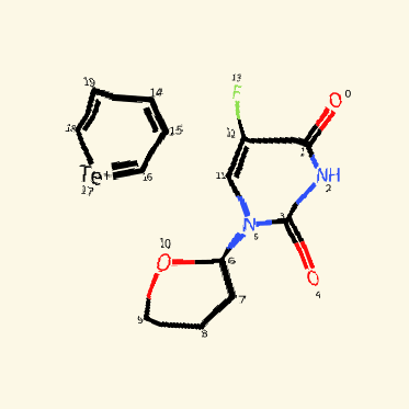 O=c1[nH]c(=O)n([C@H]2CCCO2)cc1F.c1cc[te+]cc1